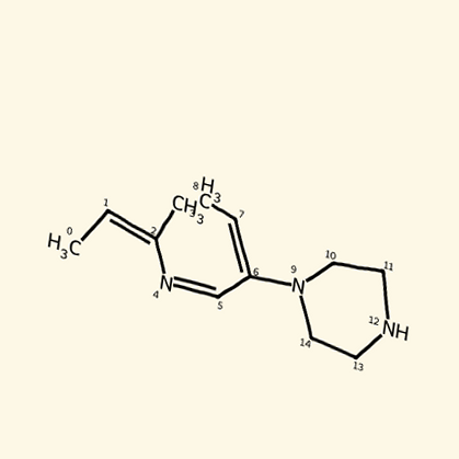 C\C=C(C)/N=C\C(=C/C)N1CCNCC1